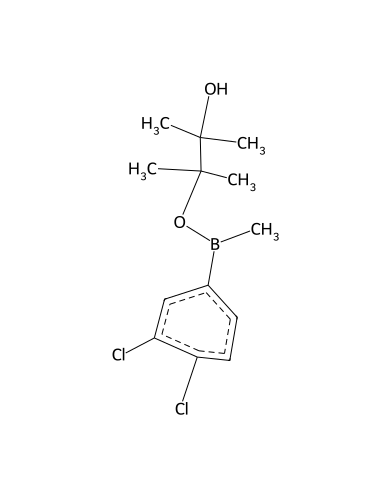 CB(OC(C)(C)C(C)(C)O)c1ccc(Cl)c(Cl)c1